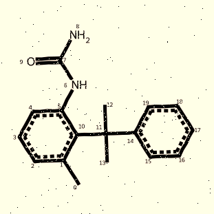 Cc1cccc(NC(N)=O)c1C(C)(C)c1ccccc1